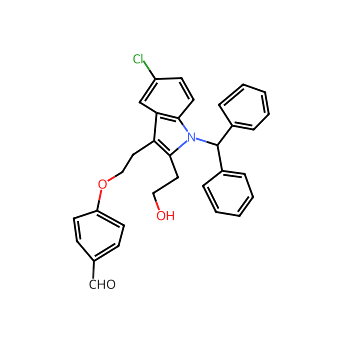 O=Cc1ccc(OCCc2c(CCO)n(C(c3ccccc3)c3ccccc3)c3ccc(Cl)cc23)cc1